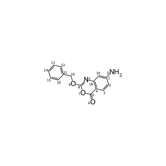 Nc1ccc2c(=O)oc(OCc3ccccc3)nc2c1